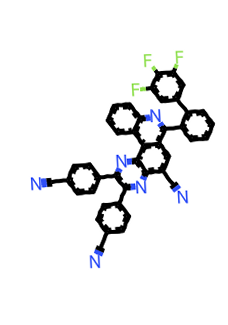 N#Cc1ccc(-c2nc3c(C#N)cc4c(-c5ccccc5-c5cc(F)c(F)c(F)c5)nc5ccccc5c4c3nc2-c2ccc(C#N)cc2)cc1